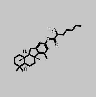 CCCCCC(N)C(=O)Oc1cc(C)c2c(c1)C[C@@H]1[C@@]3(C)CCCC(C)(C)[C@@H]3CC[C@@]21C